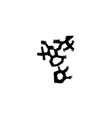 CC(C)(C)N(C(=O)O)[C@@H]1CC[C@@H](c2cccc(F)c2F)CN/C1=N\CC(O)C1(C(F)(F)F)CC1